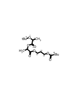 CC(OC(=O)C(C)OC(C)(C)C)C(=O)OCCCOC(=O)C(C)(C)C